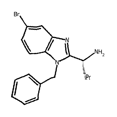 CC(C)[C@@H](N)c1nc2cc(Br)ccc2n1Cc1ccccc1